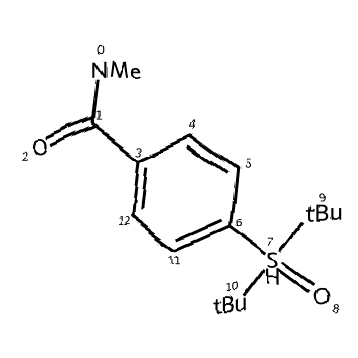 CNC(=O)c1ccc([SH](=O)(C(C)(C)C)C(C)(C)C)cc1